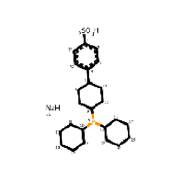 O=S(=O)(O)c1ccc(C2CCC(P(C3CCCCC3)C3CCCCC3)CC2)cc1.[NaH]